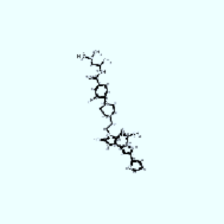 CC(CN(C)C)NC(=O)c1ccc(N2CCN(CCn3c(=O)sc4c3nc(N)n3nc(-c5ccco5)cc43)CC2)c(F)c1